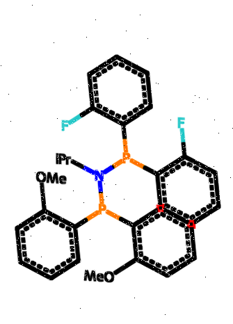 COc1ccccc1P(c1ccccc1OC)N(C(C)C)P(c1ccccc1F)c1ccccc1F